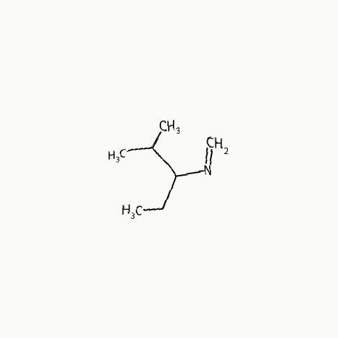 C=NC(CC)C(C)C